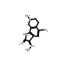 Bc1cc2c(c3c1CCN(CC)C3)NC(=O)/C2=N\O